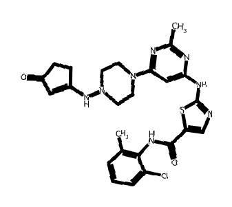 Cc1nc(Nc2ncc(C(=O)Nc3c(C)cccc3Cl)s2)cc(N2CCN(NC3=CC(=O)CC3)CC2)n1